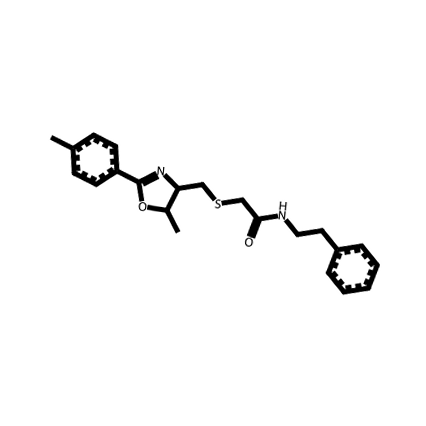 Cc1ccc(C2=NC(CSCC(=O)NCCc3ccccc3)C(C)O2)cc1